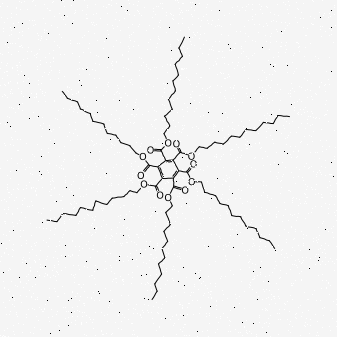 CCCCCCCCCCCCOC(=O)c1c(C(=O)OCCCCCCCCCCCC)c(C(=O)OCCCCCCCCCCCC)c(C(=O)OCCCCCCCCCCCC)c(C(=O)OCCCCCCCCCCCC)c1C(=O)OCCCCCCCCCCCC